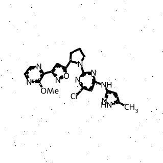 COc1nccnc1-c1cc(C2CCCN2c2nc(Cl)cc(Nc3cc(C)[nH]n3)n2)on1